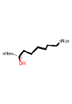 CCCCCCCCCCCCCCC[C@H](O)CCCCCC